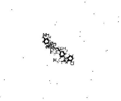 CCc1nc2c(Cl)cccc2n1-c1ccc(C(C)(C)CNC(=O)NS(=O)(=O)c2ccc(CN)cc2)cc1